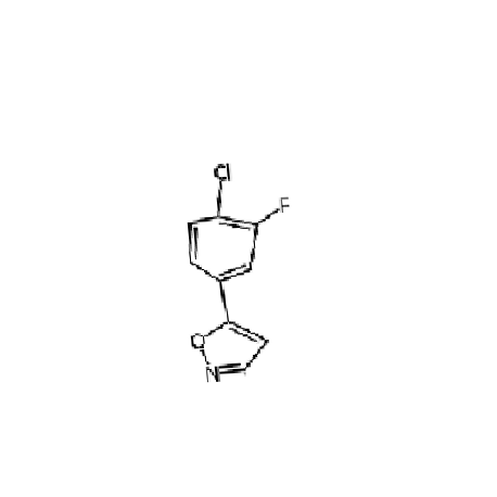 Fc1cc(-c2c[c]no2)ccc1Cl